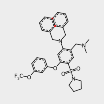 CN(C)Cc1cc(S(=O)(=O)N2CCCC2)c(Oc2cccc(OC(F)(F)F)c2)cc1N(Cc1ccccc1)Cc1ccccc1